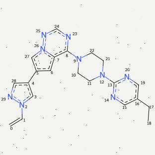 C=Cn1cc(-c2cc3c(N4CCN(c5ncc(CC)cn5)CC4)ncnn3c2)cn1